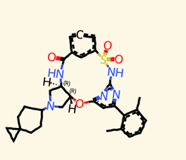 Cc1cccc(C)c1-c1cc2nc(n1)NS(=O)(=O)c1cccc(c1)C(=O)N[C@@H]1CN(C3CCC4(CC3)CC4)C[C@H]1O2